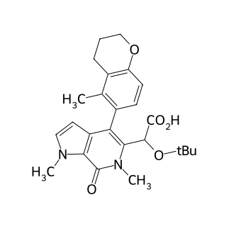 Cc1c(-c2c(C(OC(C)(C)C)C(=O)O)n(C)c(=O)c3c2ccn3C)ccc2c1CCCO2